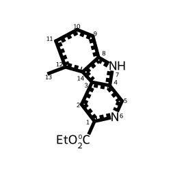 CCOC(=O)c1cc2c(cn1)[nH]c1cccc(C)c12